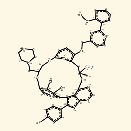 O=C(O)[C@H]1Cc2cc(ccc2OCc2ccnc(-c3ccccc3OO)n2)OCC(CN2CCNCC2)Oc2ccc(c(O)c2Cl)-c2c(-c3ccc(F)cc3)sc3ncnc(c23)O1